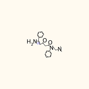 CN(C)CCN(C(=O)CC(=O)/C=C(/N)c1ccccc1)c1ccccc1